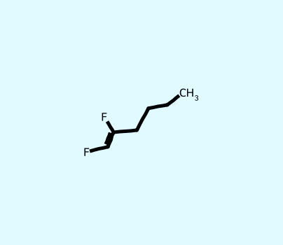 CCCCC(F)=CF